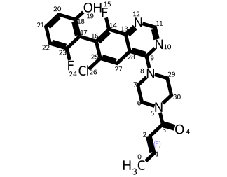 C/C=C/C(=O)N1CCN(c2ncnc3c(F)c(-c4c(O)cccc4F)c(Cl)cc23)CC1